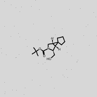 CC(C)(C)OC(=O)N1C[C@H]2[C@@H]([C@H]1CO)C21CCCC1